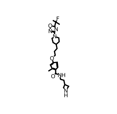 Cc1cc(OCCCC2CCN(c3noc(C(C)(C)F)n3)CC2)ccc1C(=O)NCCC1CNC1